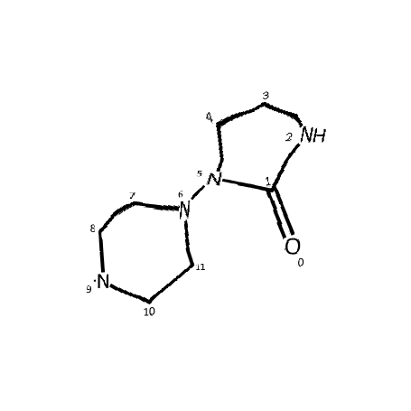 O=C1NCCN1N1CC[N]CC1